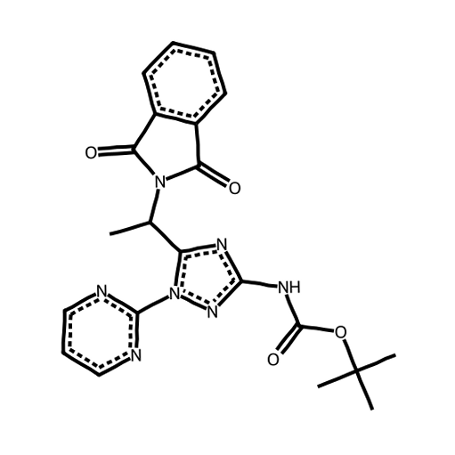 CC(c1nc(NC(=O)OC(C)(C)C)nn1-c1ncccn1)N1C(=O)c2ccccc2C1=O